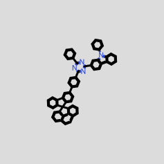 c1ccc(-c2nc(-c3ccc(-c4ccc5c(c4)-c4ccccc4C54c5cccc6ccc7cccc4c7c56)cc3)nc(-c3ccc4c5ccccc5n(-c5ccccc5)c4c3)n2)cc1